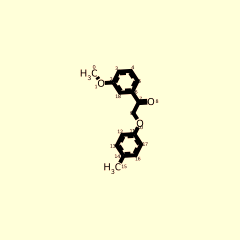 COc1cccc(C(=O)COc2ccc(C)cc2)c1